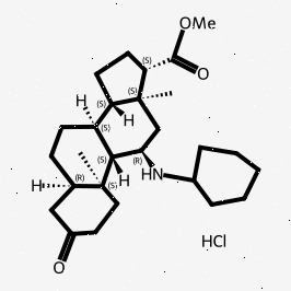 COC(=O)[C@H]1CC[C@H]2[C@@H]3CC[C@@H]4CC(=O)CC[C@]4(C)[C@H]3[C@H](NC3CCCCC3)C[C@]12C.Cl